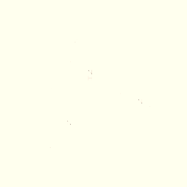 CC(C(=O)Nc1ccccc1C(N)=O)c1ccc(C(F)(F)F)nc1